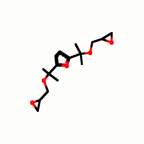 CC(C)(OCC1CO1)c1ccc(C(C)(C)OCC2CO2)o1